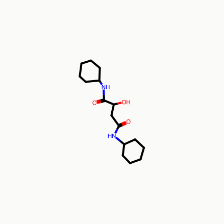 O=C(CC(O)C(=O)NC1CCCCC1)NC1CCCCC1